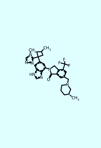 CC1CC(c2cc(N3Cc4c(cc(CN5CCC[C@H](C)C5)cc4C(F)(F)F)C3=O)c3nc[nH]c3c2)(c2nncn2C)C1